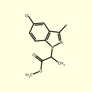 COC(=O)C(C)n1nc(I)c2cc(Cl)ccc21